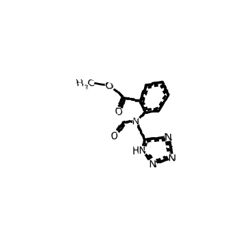 COC(=O)c1ccccc1N(C=O)c1nnn[nH]1